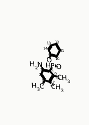 Cc1cc(N)c([PH](=O)Oc2ccccc2)c(C)c1C